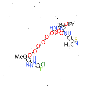 COc1cc2ncnc(Nc3ccc(F)c(Cl)c3)c2cc1OCCOCCOCCOCCOCCOCC(=O)N[C@H](C(=O)N1C[C@H](OC(C)C)C[C@H]1C(=O)NCc1ccc(-c2scnc2C)cc1)C(C)(C)C